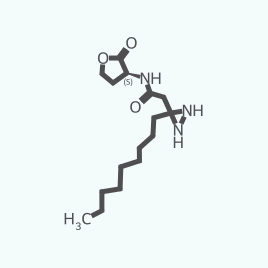 CCCCCCCCCC1(CC(=O)N[C@H]2CCOC2=O)NN1